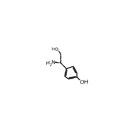 N[C@@H](CO)c1ccc(O)cc1